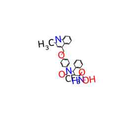 Cc1cc(COc2ccc(N(C(=O)C(F)(F)F)C(CC(=O)NO)c3ccccc3)cc2)c2ccccc2n1